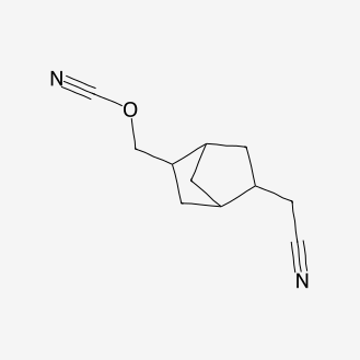 N#CCC1CC2CC1CC2COC#N